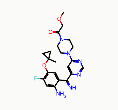 COCC(=O)N1CCN(c2cc(C(=N)c3cc(OC4(C)CC4)c(F)cc3N)ncn2)CC1